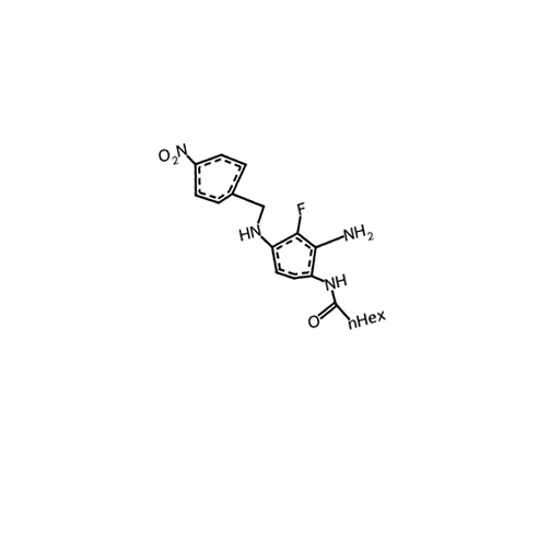 CCCCCCC(=O)Nc1ccc(NCc2ccc([N+](=O)[O-])cc2)c(F)c1N